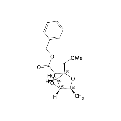 COC[C@]12O[C@@H](C)[C@H](OC1C(=O)OCc1ccccc1)[C@@H]2O